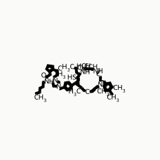 C=C1/C=C/CCC(C)C2/C(=C(/S)C(CC(C)C)NC(=C)C(C)(C)CNCC[C@@H](Cc3ccc(CC)c(C)c3)N1)C2c1ccc(CN2CCN(CCC(C)C3=C(CC(=O)NCCCCCC)CC=C3)C2)cc1